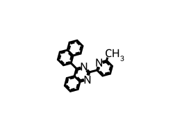 Cc1cccc(-c2nc(-c3cccc4ccccc34)c3ccccc3n2)n1